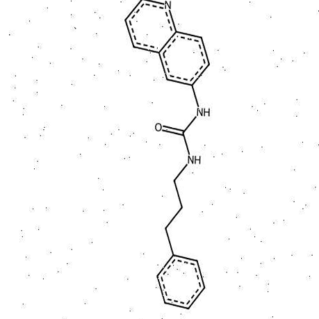 O=C(NCCCc1ccccc1)Nc1ccc2ncccc2c1